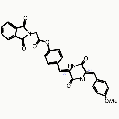 COc1ccc(/C=c2\[nH]c(=O)/c(=C/c3ccc(OC(=O)CN4C(=O)c5ccccc5C4=O)cc3)[nH]c2=O)cc1